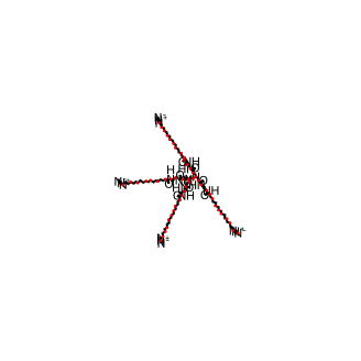 [N-]=[N+]=NCCCCCCCCCCCCCCCCCC(=O)NCCNC(=O)CCN(CCC(=O)NCCNC(=O)CCCCCCCCCCCCCCCCCN=[N+]=[N-])CCN(CCC(=O)NCCNC(=O)CCCCCCCCCCCCCCCCCN=[N+]=[N-])CCC(=O)NCCNC(=O)CCCCCCCCCCCCCCCCCN=[N+]=[N-]